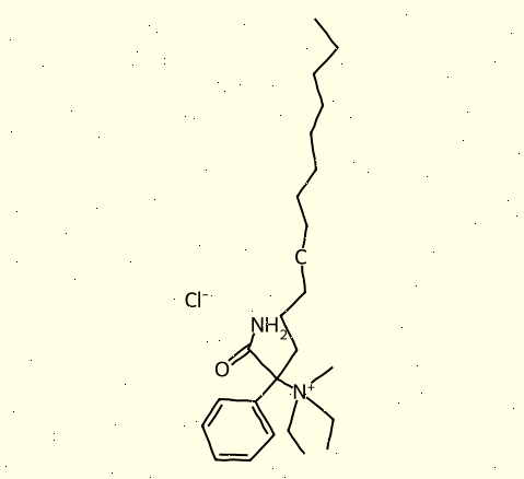 CCCCCCCCCCCCC(C(N)=O)(c1ccccc1)[N+](C)(CC)CC.[Cl-]